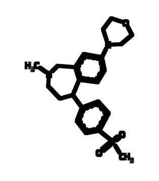 CN1CCC(c2ccc(S(C)(=O)=O)cc2)c2ccc(N3CCOCC3)cc2C1